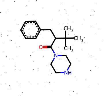 CC(C)(C)C(Cc1ccccc1)C(=O)N1CCNCC1